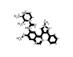 COc1cc2ncnc(-c3cn(C)nc3-c3ccccc3)c2cc1NC(=O)N1CCN[C@H](C)[C@@H]1C